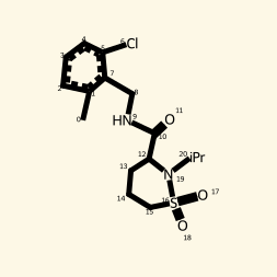 Cc1cccc(Cl)c1CNC(=O)C1CCCS(=O)(=O)N1C(C)C